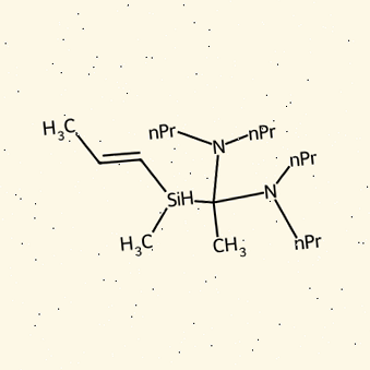 CC=C[SiH](C)C(C)(N(CCC)CCC)N(CCC)CCC